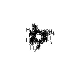 C[C@@H](O)[C@@H]1NC(=O)[C@H](CCCCCN)NC(=O)[C@@H](Cc2c[nH]c3ccccc23)NC(=O)[C@H](Cc2ccccc2)NC(=O)[C@@H](NC(=O)[C@H](N)Cc2ccccc2)CSSC[C@@H](C(=O)N[C@H](CO)[C@@H](C)O)NC1=O